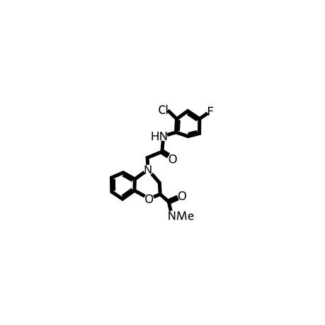 CNC(=O)C1CN(CC(=O)Nc2ccc(F)cc2Cl)c2ccccc2O1